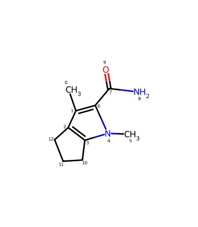 Cc1c2c(n(C)c1C(N)=O)CCC2